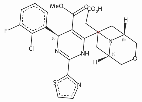 COC(=O)C1=C(CN2[C@@H]3COC[C@H]2CC(CC(=O)O)C3)NC(c2nccs2)=N[C@H]1c1cccc(F)c1Cl